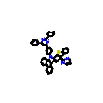 c1ccc(-c2cc(-c3ccc(-n4c5c(cc(-c6ncccn6)c6c7ccccc7sc65)c5c6ccccc6c6ccccc6c54)cc3)nc(-c3ccccc3)n2)cc1